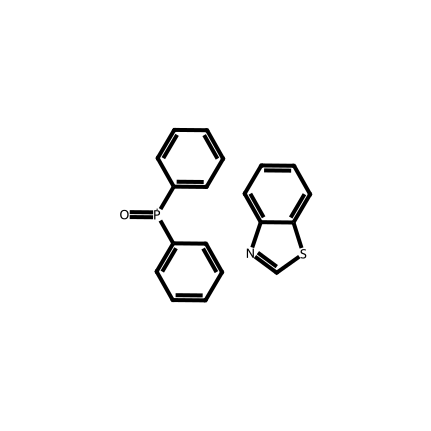 O=[P](c1ccccc1)c1ccccc1.c1ccc2scnc2c1